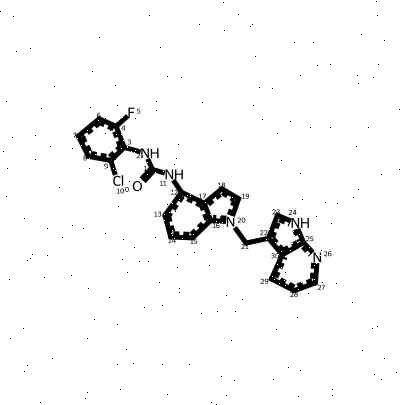 O=C(Nc1c(F)cccc1Cl)Nc1cccc2c1ccn2Cc1c[nH]c2ncccc12